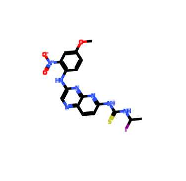 COc1ccc(Nc2cnc3ccc(NC(=S)NC(C)I)nc3n2)c([N+](=O)[O-])c1